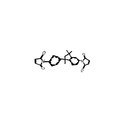 CC1(C)CC(C)(c2ccc(N3C(=O)C=CC3=O)cc2)c2ccc(N3C(=O)C=CC3=O)cc21